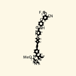 COC[C@@H]1N=C(c2ccc(C#CC3CC4(C3)CN(c3ccc(C(=O)NC5CCC(Oc6ccc(C#N)c(OC(F)(F)F)c6)CC5)nn3)C4)cc2)c2c(sc(C)c2C)-n2c(C)nnc21